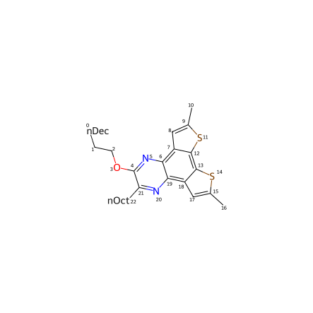 CCCCCCCCCCCCOc1nc2c3cc(C)sc3c3sc(C)cc3c2nc1CCCCCCCC